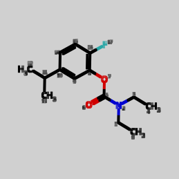 CCN(CC)C(=O)Oc1cc(C(C)C)ccc1F